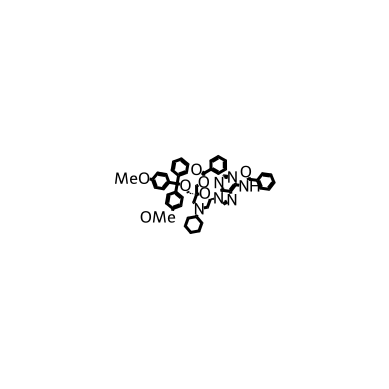 COc1ccc(C(OC[C@@]2(COC(=O)c3ccccc3)CN(C3CCCCC3)C[C@H](n3cnc4c(NC(=O)c5ccccc5)ncnc43)O2)(c2ccccc2)c2ccc(OC)cc2)cc1